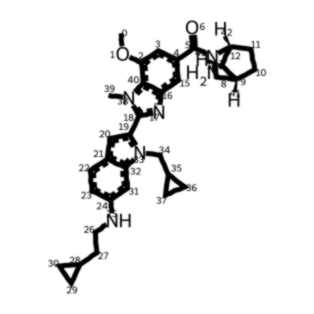 COc1cc(C(=O)N2C[C@H]3CC[C@@H]2[C@H]3N)cc2nc(-c3cc4ccc(NCCC5CC5)cc4n3CC3CC3)n(C)c12